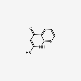 O=c1[c]c(S)[nH]c2ncccc12